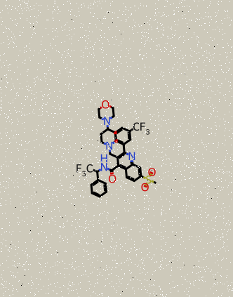 CS(=O)(=O)c1ccc2c(C(=O)NC(c3ccccc3)C(F)(F)F)c(CN3CCC(N4CCOCC4)CC3)c(-c3cccc(C(F)(F)F)c3)nc2c1